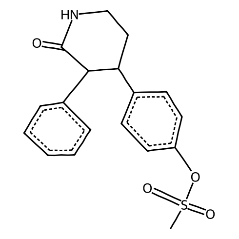 CS(=O)(=O)Oc1ccc(C2CCNC(=O)C2c2ccccc2)cc1